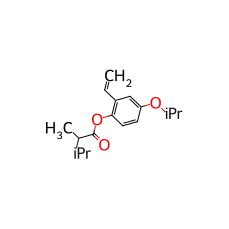 C=Cc1cc(OC(C)C)ccc1OC(=O)C(C)C(C)C